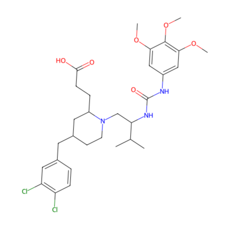 COc1cc(NC(=O)NC(CN2CCC(Cc3ccc(Cl)c(Cl)c3)CC2CCC(=O)O)C(C)C)cc(OC)c1OC